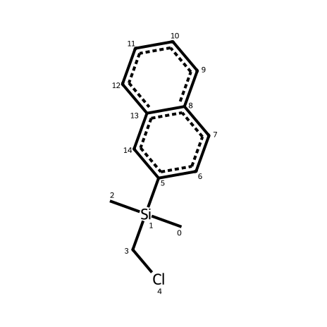 C[Si](C)(CCl)c1ccc2ccccc2c1